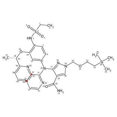 CCS(=O)(=O)Nc1ccc(N(c2cnccn2)c2nn(COCC[Si](C)(C)C)cc2C(N)=O)cc1O[C@@H](C)c1ccccn1